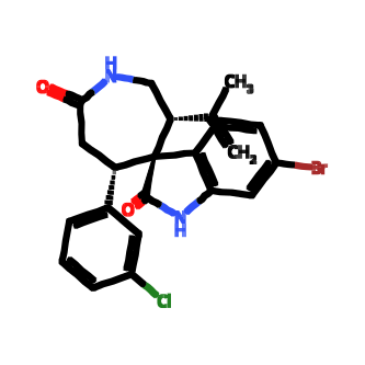 C=C(C)[C@H]1CNC(=O)C[C@@H](c2cccc(Cl)c2)[C@]12C(=O)Nc1cc(Br)ccc12